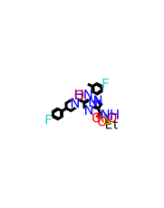 CCS(=O)(=O)NC(=O)c1cnn2c(Nc3ccc(F)cc3C)c(C(=O)N3CCC(c4ccc(F)cc4)CC3)cnc12